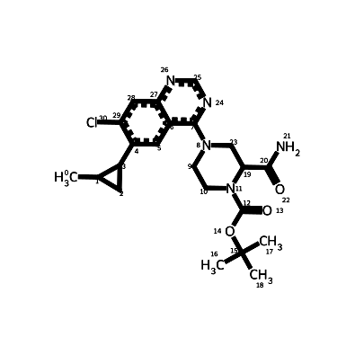 CC1CC1c1cc2c(N3CCN(C(=O)OC(C)(C)C)C(C(N)=O)C3)ncnc2cc1Cl